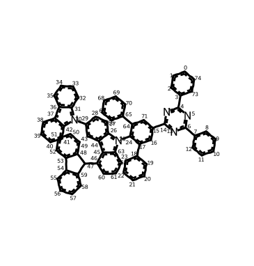 c1ccc(-c2nc(-c3ccccc3)nc(-c3cc(-c4ccccc4)c(-n4c5ccc(-n6c7ccccc7c7ccccc76)cc5c5c(C6c7ccccc7-c7ccccc76)cccc54)c(-c4ccccc4)c3)n2)cc1